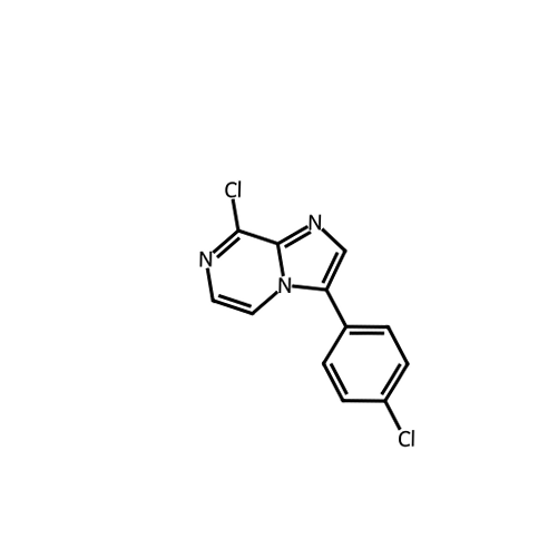 Clc1ccc(-c2cnc3c(Cl)nccn23)cc1